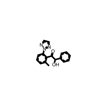 Cc1cccc(-n2nccn2)c1C(=O)C(O)c1ccccc1